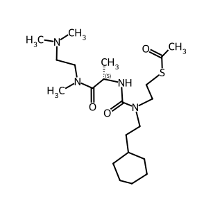 CC(=O)SCCN(CCC1CCCCC1)C(=O)N[C@@H](C)C(=O)N(C)CCN(C)C